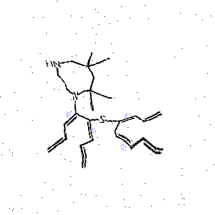 C=C/C=C\C(=C/C=C)SC(=C/C=C)/C(=C\C=C)N1CCNCC(C)(C)CC1(C)C